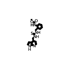 COC(=O)Nc1ccccc1CNC(=S)NCc1ccnc2[nH]ccc12